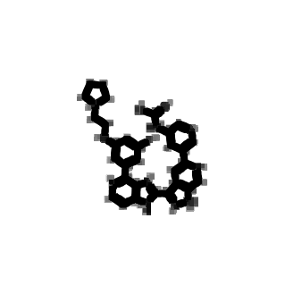 CCC(=O)Nc1cncc(-c2cc3c(-c4nc5c(-c6cc(F)cc(OCCN7CCCC7)c6)nccc5[nH]4)n[nH]c3cn2)c1